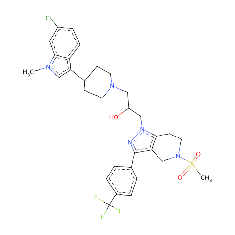 Cn1cc(C2CCN(CC(O)Cn3nc(-c4ccc(C(F)(F)F)cc4)c4c3CCN(S(C)(=O)=O)C4)CC2)c2ccc(Cl)cc21